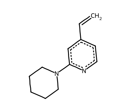 C=Cc1ccnc(N2CCCCC2)c1